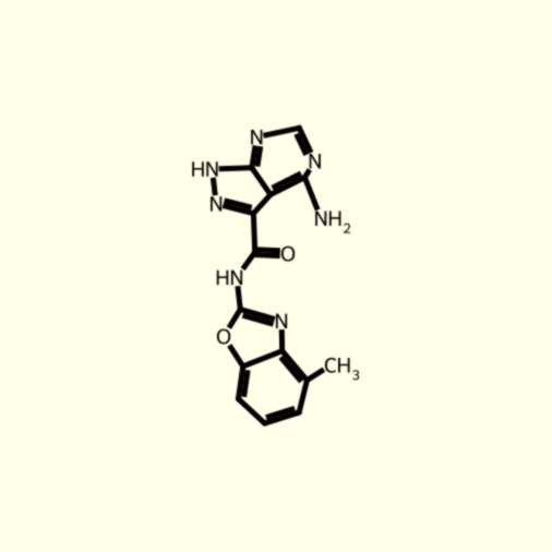 Cc1cccc2oc(NC(=O)c3n[nH]c4ncnc(N)c34)nc12